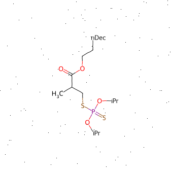 CCCCCCCCCCCCOC(=O)C(C)CSP(=S)(OC(C)C)OC(C)C